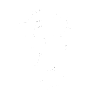 CCOC(=O)C(C)NP(=O)(COCc1ccccc1)Oc1c(C(C)C)cccc1C(C)C